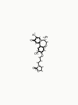 CC(=O)c1cn2c(cc1=O)-c1cc(Cl)c(OCCCN3CCOC3=O)cc1OC[C@H]2C(C)C